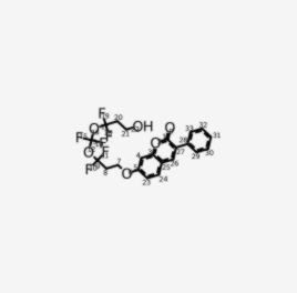 O=c1oc2cc(OCCC(F)(F)OC(F)(F)OC(F)(F)CCO)ccc2cc1-c1ccccc1